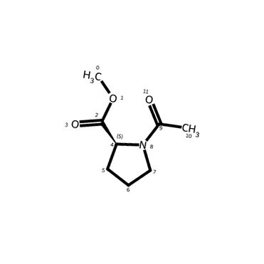 COC(=O)[C@@H]1CCCN1C(C)=O